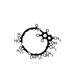 CC1=CCC(O)C=CC(C)C(O)C(C)C=C(C)C(=O)c2c(O)c(C)cc3c2C(=O)C(Cl)=C(NC(=O)C=CC=CC=CC(C)C(O)CC1=O)C3=O